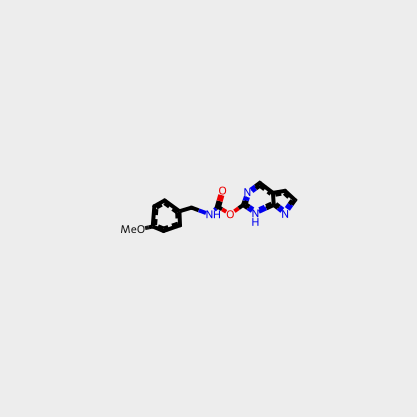 COc1ccc(CNC(=O)Oc2ncc3ccnc-3[nH]2)cc1